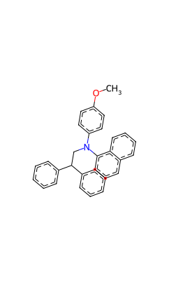 COc1ccc(N(CC(c2ccccc2)c2ccccc2)c2cccc3ccccc23)cc1